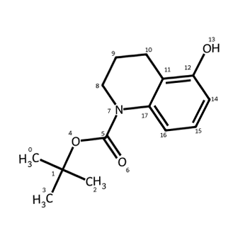 CC(C)(C)OC(=O)N1CCCc2c(O)cccc21